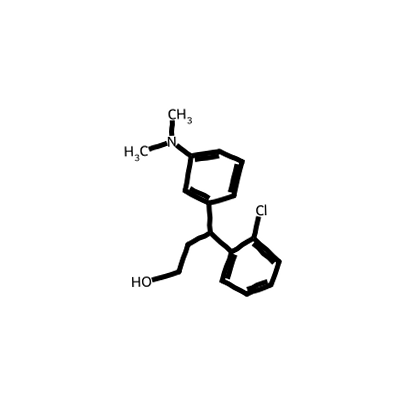 CN(C)c1cccc(C(CCO)c2ccccc2Cl)c1